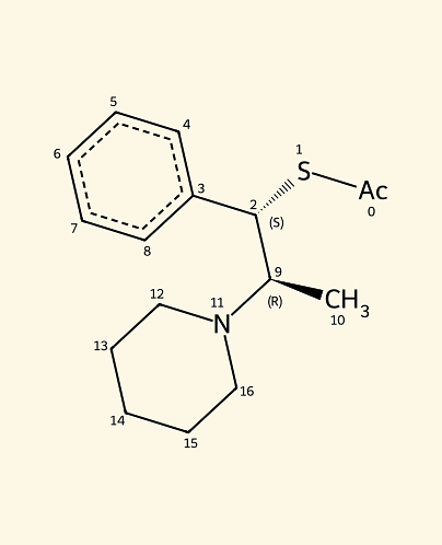 CC(=O)S[C@@H](c1ccccc1)[C@@H](C)N1CCCCC1